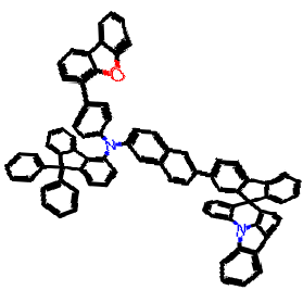 c1ccc(C2(c3ccccc3)c3ccccc3-c3c(N(c4ccc(-c5cccc6c5oc5ccccc56)cc4)c4ccc5cc(-c6ccc7c(c6)C6(c8ccccc8-7)c7ccccc7-n7c8ccccc8c8cccc6c87)ccc5c4)cccc32)cc1